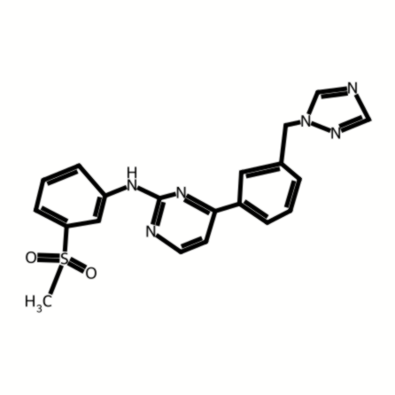 CS(=O)(=O)c1cccc(Nc2nccc(-c3cccc(Cn4cncn4)c3)n2)c1